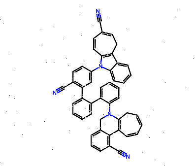 N#CC1=CCc2c(n(-c3ccc(C#N)c(-c4ccccc4-c4ccccc4N4Cc5cccc(C#N)c5C5=C4CC=CC=C5)c3)c3ccccc23)C=C1